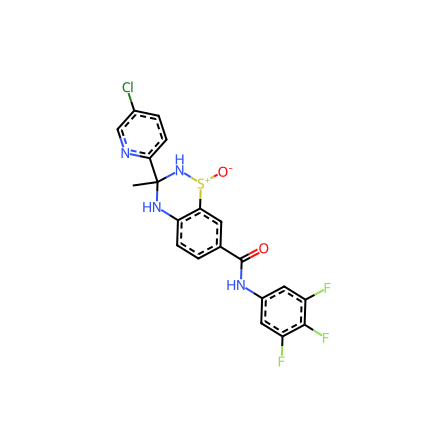 CC1(c2ccc(Cl)cn2)Nc2ccc(C(=O)Nc3cc(F)c(F)c(F)c3)cc2[S+]([O-])N1